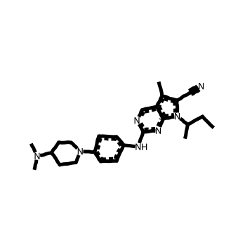 CCC(C)n1c(C#N)c(C)c2cnc(Nc3ccc(N4CCC(N(C)C)CC4)cc3)nc21